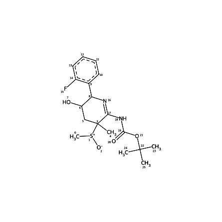 C[S+]([O-])C1(C)CC(O)C(c2ccccc2F)N=C1NC(=O)OC(C)(C)C